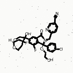 CCC(O)(c1cc(F)c2c(c1)C(=O)N(Cc1ccc(C#N)cn1)[C@@]2(OCCO)c1ccc(Cl)cc1)C1(F)CCOCC1